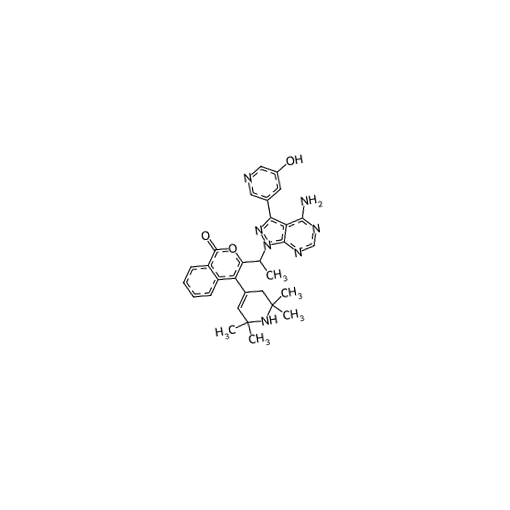 CC(c1oc(=O)c2ccccc2c1C1=CC(C)(C)NC(C)(C)C1)n1nc(-c2cncc(O)c2)c2c(N)ncnc21